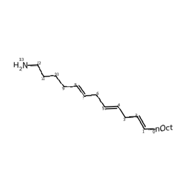 CCCCCCCCC=CCC=CCC=CCCCCN